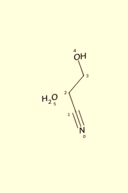 N#CCCO.O